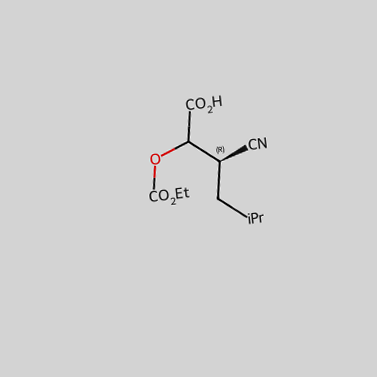 CCOC(=O)OC(C(=O)O)[C@@H](C#N)CC(C)C